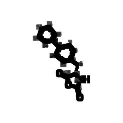 O=C1N[C@@H](Cc2ccc(-c3ccccc3)cc2)C(=O)O1